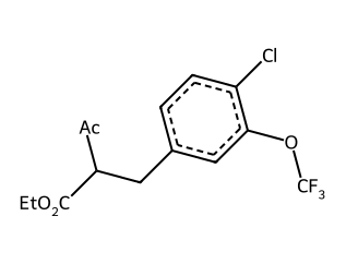 CCOC(=O)C(Cc1ccc(Cl)c(OC(F)(F)F)c1)C(C)=O